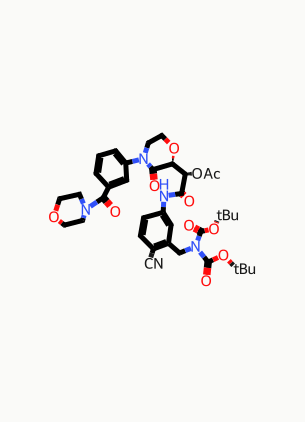 CC(=O)O[C@@H](C(=O)Nc1ccc(C#N)c(CN(C(=O)OC(C)(C)C)C(=O)OC(C)(C)C)c1)[C@H]1OCCN(c2cccc(C(=O)N3CCOCC3)c2)C1=O